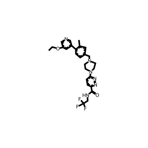 CCOc1cncc(-c2ccc(CN3CCN(c4ccc(C(=O)NCC(F)(F)F)nn4)CC3)cc2C)c1